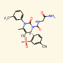 [C-]#[N+]C1=C(C)N(c2cccc(C(F)(F)F)c2)C(=O)N(C(=O)NCC(N)=O)[C@@H]1c1ccc(C#N)cc1S(C)(=O)=O